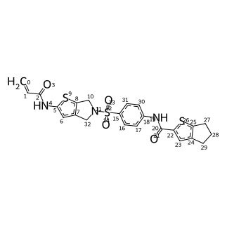 C=CC(=O)Nc1cc2c(s1)CN(S(=O)(=O)c1ccc(NC(=O)c3cc4c(s3)CCC4)cc1)C2